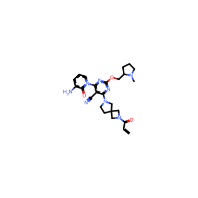 C=CC(=O)N1CC2(CCN(c3nc(OCC4CCCN4C)nc(-n4cccc(N)c4=O)c3C#N)C2)C1